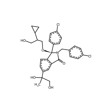 CC(O)(CO)c1ccc2c(c1)C(=O)N(Cc1ccc(Cl)cc1)[C@@]2(OCC(CO)C1CC1)c1ccc(Cl)cc1